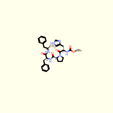 CC(C)(C)OC(=O)N[C@@H](Cc1c[nH]cn1)C(=O)N1CCC[C@H]1C(=O)N[C@@H](Cc1ccccc1)C(=O)N[C@@H](Cc1ccccc1)C(=O)O